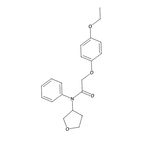 CCOc1ccc(OCC(=O)N(c2ccccc2)C2CCOC2)cc1